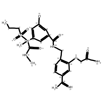 CCCS(=O)(=O)[N+](C)(C(=O)NC)c1cc(Cl)cc(C(=O)NCc2ccc(C(=N)N)cc2OCC(N)=O)c1